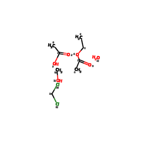 CC(=O)O.CCOC(C)=O.CO.ClCCl.O